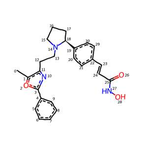 Cc1oc(-c2ccccc2)nc1CCN1CCC[C@H]1c1ccc(C=CC(=O)NO)cc1